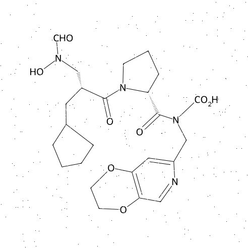 O=CN(O)C[C@@H](CC1CCCC1)C(=O)N1CCC[C@@H]1C(=O)N(Cc1cc2c(cn1)OCCO2)C(=O)O